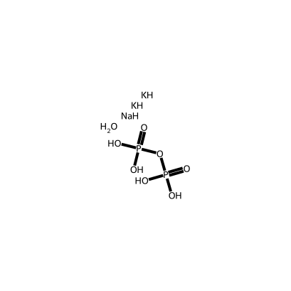 O.O=P(O)(O)OP(=O)(O)O.[KH].[KH].[NaH]